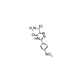 CCC(N)c1nnc(-c2ccc([N+](=O)[O-])cc2)[nH]c1=O